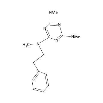 CNc1nc(NC)nc(N(C)CCc2ccccc2)n1